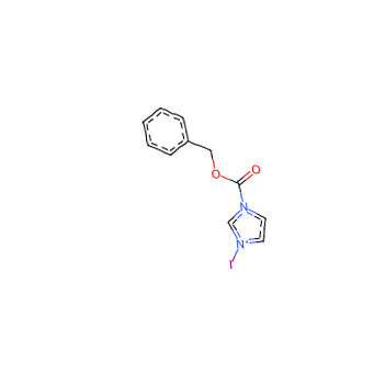 O=C(OCc1ccccc1)n1cc[n+](I)c1